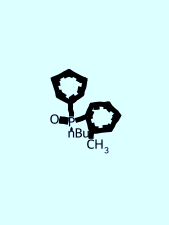 CCCC[P@](=O)(c1ccccc1)c1ccccc1C